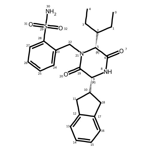 CCC(CC)[C@@H]1C(=O)N[C@H](C2Cc3ccccc3C2)C(=O)N1Cc1ccccc1S(N)(=O)=O